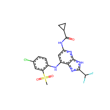 CS(=O)(=O)c1cc(Cl)ccc1Nc1cc(NC(=O)C2CC2)nc2[nH]c(C(F)F)nc12